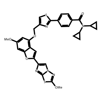 COc1cc(OCc2csc(-c3ccc(C(=O)N(C4CC4)C4CC4)cc3)n2)c2cc(-c3cn4nc(OC)sc4n3)oc2c1